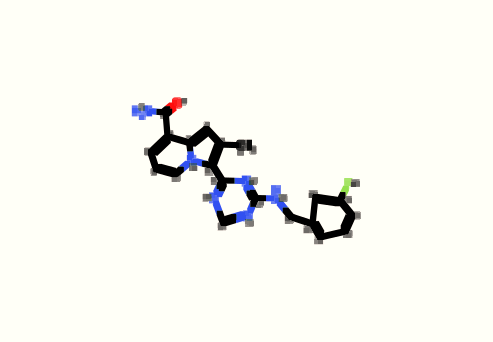 Cc1cc2c(C(N)=O)cccn2c1-c1ncnc(NCc2cccc(F)c2)n1